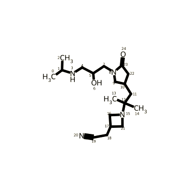 CC(C)NCC(O)CN1CC(CC(C)(C)N2CC(CC#N)C2)CC1=O